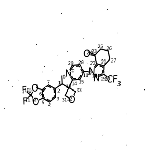 CC(c1ccc2c(c1)OC(F)(F)O2)C1(c2cc(-n3nc(C(F)(F)F)c4c3C(=O)CCC4)ccn2)COC1